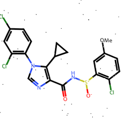 COc1ccc(Cl)c([S+]([O-])NC(=O)c2ncn(-c3ccc(Cl)cc3Cl)c2C2CC2)c1